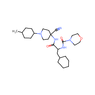 CC1CCC(N2CCC(C#N)(NC(=O)C(CC3CCCCC3)NC(=O)N3CCOCC3)CC2)CC1